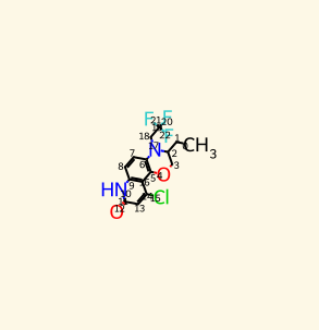 CCC1COc2c(ccc3[nH]c(=O)cc(Cl)c23)N1CC(F)(F)F